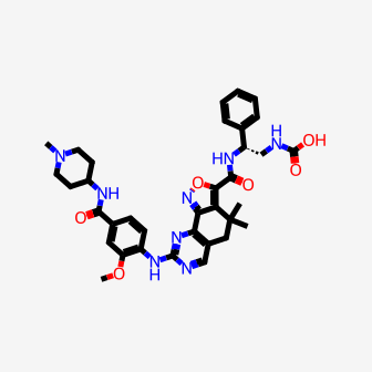 COc1cc(C(=O)NC2CCN(C)CC2)ccc1Nc1ncc2c(n1)-c1noc(C(=O)N[C@@H](CNC(=O)O)c3ccccc3)c1C(C)(C)C2